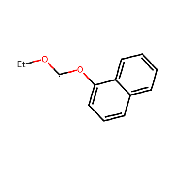 CCO[CH]Oc1cccc2ccccc12